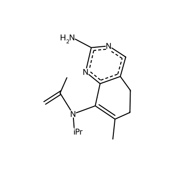 C=C(C)N(C1=C(C)CCc2cnc(N)nc21)C(C)C